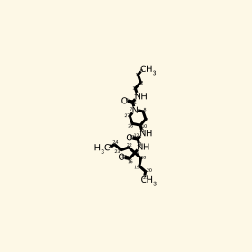 CCCCNC(=O)N1CCC(NC(=O)NC(C=O)(CCCC)CCCC)CC1